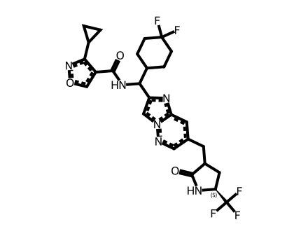 O=C(NC(c1cn2ncc(CC3C[C@@H](C(F)(F)F)NC3=O)cc2n1)C1CCC(F)(F)CC1)c1conc1C1CC1